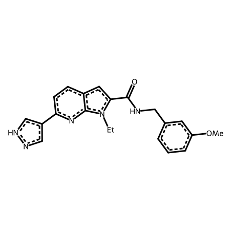 CCn1c(C(=O)NCc2cccc(OC)c2)cc2ccc(-c3cn[nH]c3)nc21